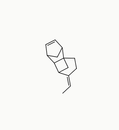 CC=C1CCC23CC1C2C1C=CC3C1